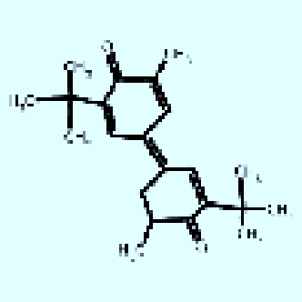 CC1=C/C(=C2\C=C(C(C)(C)C)C(=O)C(C)C2)C=C(C(C)(C)C)C1=O